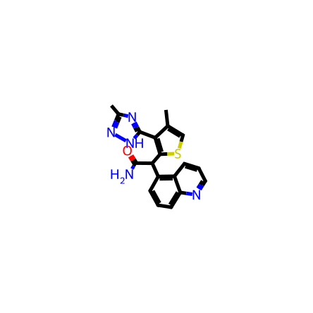 Cc1n[nH]c(-c2c(C)csc2C(C(N)=O)c2cccc3ncccc23)n1